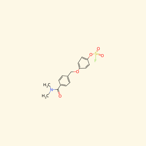 CN(C)C(=O)c1ccc(COc2ccc(OS(=O)(=O)F)cc2)cc1